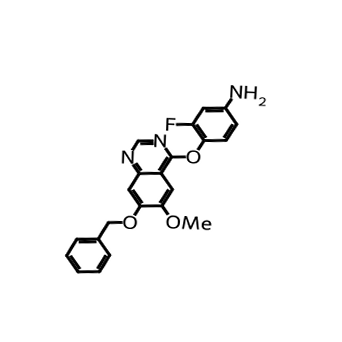 COc1cc2c(Oc3ccc(N)cc3F)ncnc2cc1OCc1ccccc1